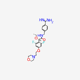 CCO[C@H](C(=O)NCc1ccc(C(=N)N)cc1)c1c(F)cc(OCCN2CCOCC2)cc1F